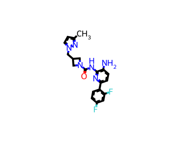 Cc1ccn(CC2CN(C(=O)Nc3nc(-c4ccc(F)cc4F)ccc3N)C2)n1